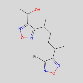 CC(C)c1nonc1C(C)CCC(C)c1nonc1C(C)O